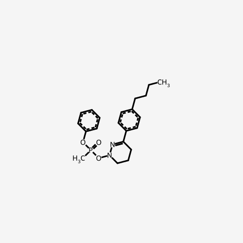 CCCCc1ccc(C2=NN(OP(C)(=O)Oc3ccccc3)CCC2)cc1